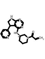 C=CC(=O)N1CCC[C@@H](Nc2ncnc3c2C(c2cccnc2)CN3)C1